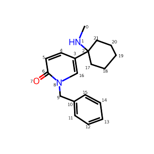 CNC1(c2ccc(=O)n(Cc3ccccc3)c2)CCCCC1